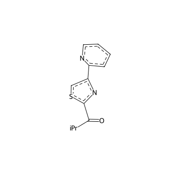 CC(C)C(=O)c1nc(-c2ccccn2)cs1